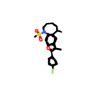 Cc1c(-c2ccc(F)cc2)oc2cc3c(cc12)C(C)CCCCN3S(C)(=O)=O